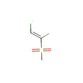 CCCCS(=O)(=O)C(Cl)=CCl